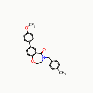 O=C1c2cc(-c3ccc(OC(F)(F)F)cc3)ccc2OCCN1Cc1ccc(C(F)(F)F)cc1